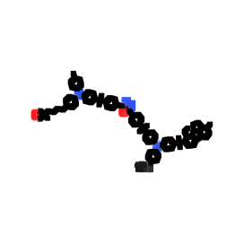 Cc1ccc(N(c2ccc(CCCCC3(C)COC3)cc2)c2ccc(C(C)(C)c3ccc(-c4nnc(-c5ccc(C(C)(C)c6ccc(N(c7ccc(C(C)(C)C)cc7)c7ccc(C(C)(C)c8ccc9c%10c8CC[C@@]%108CCc%10c(C)ccc-9c%108)cc7)cc6)cc5)o4)cc3)cc2)cc1